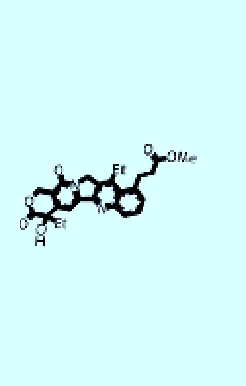 CCc1c2c(nc3cccc(CCC(=O)OC)c13)-c1cc3c(c(=O)n1C2)COC(=O)C3(O)CC